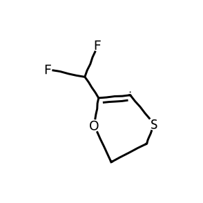 FC(F)C1=[C]SCCO1